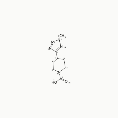 Cn1nnc(C2CCN(C(=O)O)CC2)n1